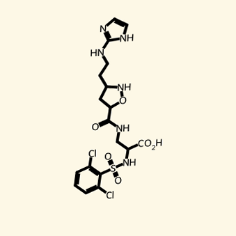 O=C(O)C(CNC(=O)C1CC(CCNc2ncc[nH]2)NO1)NS(=O)(=O)c1c(Cl)cccc1Cl